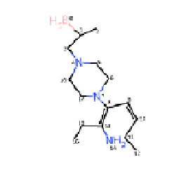 BC(C)CN1CCN(C(/C=C\CC)=C(/N)CC)CC1